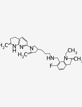 C=C1CCc2ccc(N3CC(CCCNCc4c(F)ccc5c4N(CC)C(=C)C5)CC3=C)nc2N1